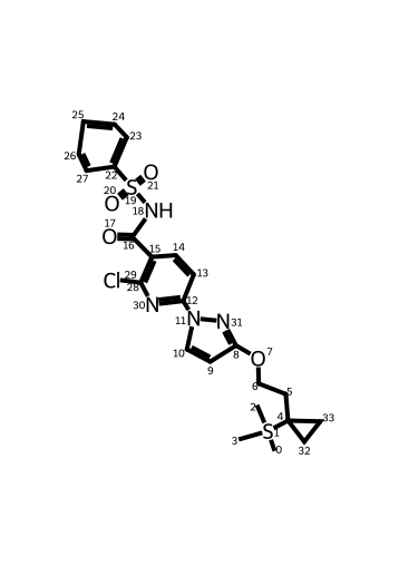 CS(C)(C)C1(CCOc2ccn(-c3ccc(C(=O)NS(=O)(=O)c4ccccc4)c(Cl)n3)n2)CC1